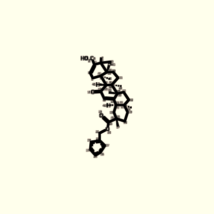 CC1(C)C(C(=O)O)=CC[C@]2(C)[C@H]3C(=O)C=C4[C@@H]5C[C@@](C)(C(=O)OCc6ccccc6)CC[C@]5(C)CC[C@@]4(C)[C@]3(C)CC[C@@H]12